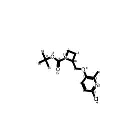 Cc1nc(Cl)ccc1OCC1CCN1C(=O)OC(C)(C)C